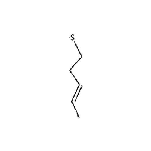 C/C=C/CC[S]